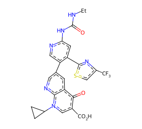 CCNC(=O)Nc1cc(-c2nc(C(F)(F)F)cs2)c(-c2cnc3c(c2)c(=O)c(C(=O)O)cn3C2CC2)cn1